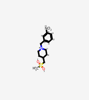 CS(=O)(=O)CC1CCN(Cc2cccc([N+](=O)[O-])c2)CC1